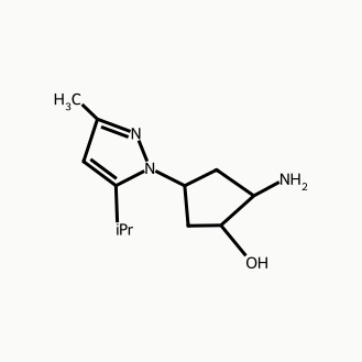 Cc1cc(C(C)C)n(C2CC(N)C(O)C2)n1